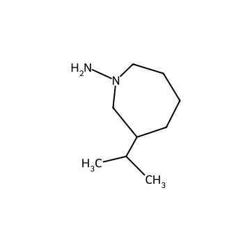 CC(C)C1CCCCN(N)C1